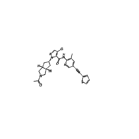 CC(=O)N1C[C@H]2C[C@H](n3ncc(Cl)c3C(=O)Nc3ncc(C#Cc4cccs4)cc3C)C[C@H]2C1